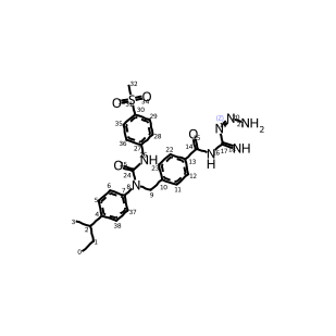 CCC(C)c1ccc(N(Cc2ccc(C(=O)NC(=N)/N=N\N)cc2)C(=O)Nc2ccc(S(C)(=O)=O)cc2)cc1